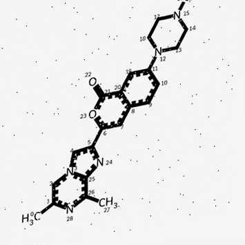 Cc1cn2cc(-c3cc4ccc(N5CCN(C(C)(C)C)CC5)cc4c(=O)o3)nc2c(C)n1